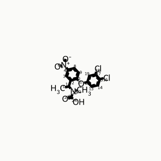 CC(c1cc([N+](=O)[O-])ccc1Oc1ccc(Cl)c(Cl)c1)N(C)C(=O)O